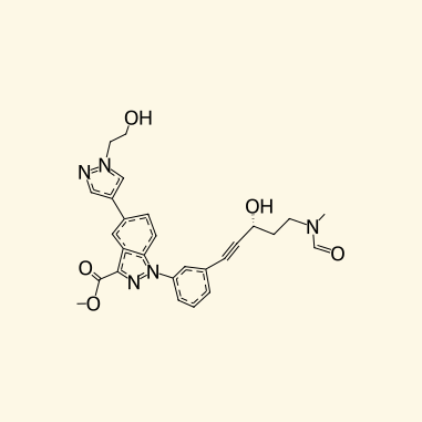 COC(=O)c1nn(-c2cccc(C#C[C@H](O)CCN(C)C=O)c2)c2ccc(-c3cnn(CCO)c3)cc12